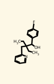 CCC(CC)(Cc1ccccn1)C(O)c1ccc(F)cc1